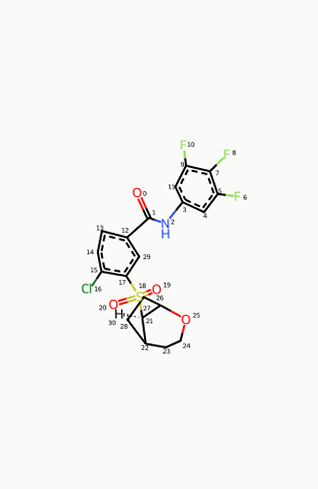 O=C(Nc1cc(F)c(F)c(F)c1)c1ccc(Cl)c(S(=O)(=O)[C@@H]2C3CCOC2CC3)c1